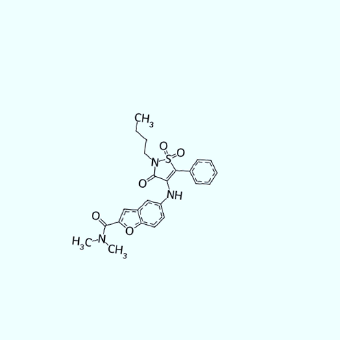 CCCCN1C(=O)C(Nc2ccc3oc(C(=O)N(C)C)cc3c2)=C(c2ccccc2)S1(=O)=O